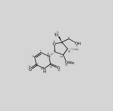 CC[C@]1(CO)O[C@@H](n2ccc(=O)[nH]c2=O)C(OC)[C@H]1C